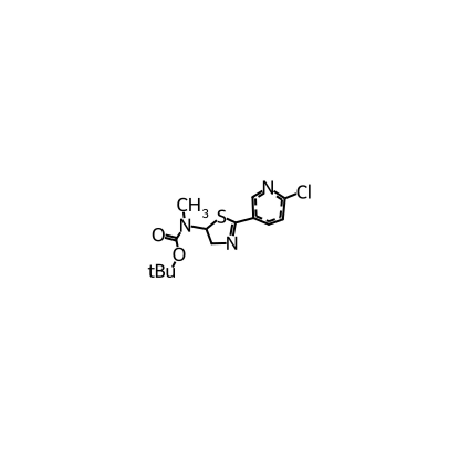 CN(C(=O)OC(C)(C)C)C1CN=C(c2ccc(Cl)nc2)S1